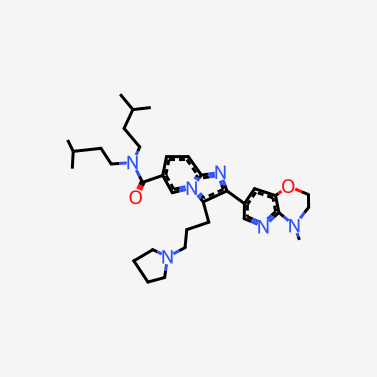 CC(C)CCN(CCC(C)C)C(=O)c1ccc2nc(-c3cnc4c(c3)OCCN4C)c(CCCN3CCCC3)n2c1